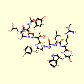 CNC(=N)NCCC[C@H](NC(=O)[C@H](CC(C)C)NC(=O)NNC(=O)[C@H](Cc1cccc(F)c1)NC(=O)C(NC(=O)[C@H](CC(N)=O)NC(=O)[C@H](CCC(=O)O)NC(=O)[C@@H](Cc1ccc(O)cc1)NC(C)=O)[C@@H](C)O)C(=O)N[C@@H](Cc1c[nH]c2ccccc12)C(N)=O